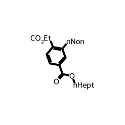 CCCCCCCCCc1cc(C(=O)OCCCCCCC)ccc1C(=O)OCC